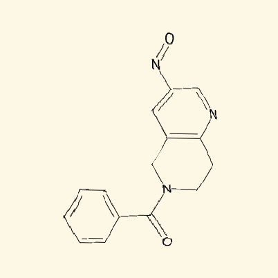 O=Nc1cnc2c(c1)CN(C(=O)c1ccccc1)CC2